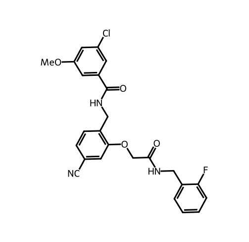 COc1cc(Cl)cc(C(=O)NCc2ccc(C#N)cc2OCC(=O)NCc2ccccc2F)c1